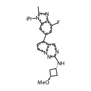 CO[C@H]1C[C@H](Nc2ncc3c(-c4cc(F)c5nc(C)n(C(C)C)c5c4)ccn3n2)C1